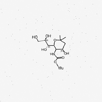 CC(C)(C)OC(=O)NC1C([C@H](O)[C@H](O)CO)OC(C)(C)C[C@H]1O